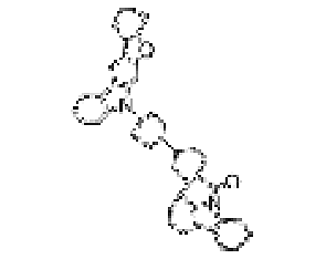 O=c1c2ccc(-c3ccc(-n4c5ccccc5c5cc6c(cc54)oc4ccccc46)cc3)cc2c2cccc3c4ccccc4n1c23